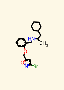 CC(CC1CCCCC1)NCc1ccccc1OCc1cc(Br)no1